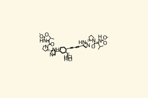 COC(=O)N[C@H](C(=O)N1CCC[C@H]1c1ncc(C#CC#Cc2ccc(-c3cnc([C@@H]4CCCN4C(=O)[C@@H](NC(=O)OC)C(C)C)[nH]3)cc2F)[nH]1)C(C)C.Cl.Cl